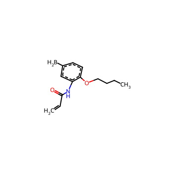 Bc1ccc(OCCCC)c(NC(=O)C=C)c1